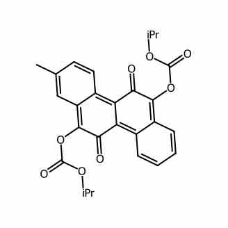 Cc1ccc2c(c1)=C(OC(=O)OC(C)C)C(=O)C1=c3ccccc3=C(OC(=O)OC(C)C)C(=O)C=21